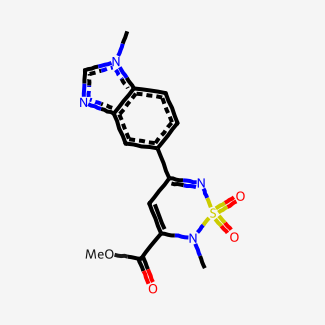 COC(=O)C1=CC(c2ccc3c(c2)ncn3C)=NS(=O)(=O)N1C